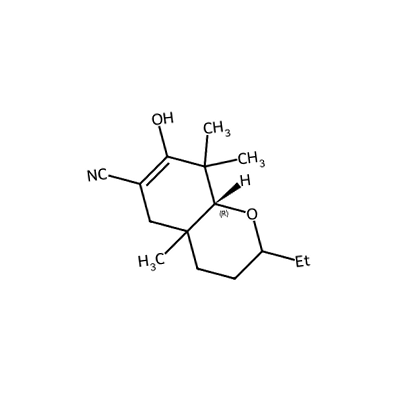 CCC1CCC2(C)CC(C#N)=C(O)C(C)(C)[C@@H]2O1